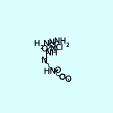 COc1ccc(CC(=O)NCCCCN(C)CCNC(=O)c2nc(Cl)c(N)nc2N)cc1